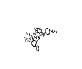 Nc1ncnc2c1c(-c1cc3c(Cl)ccc(O)c3[nH]1)nn2C1CCNCC1